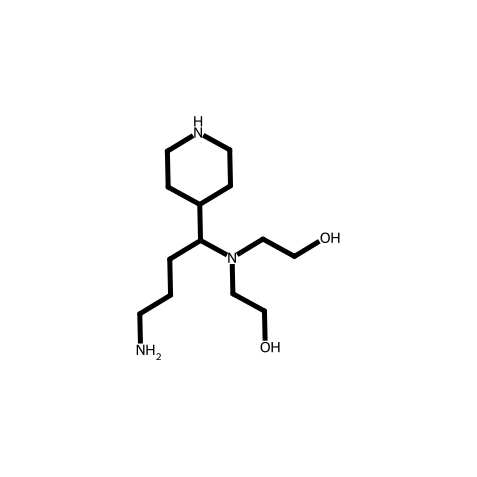 NCCCC(C1CCNCC1)N(CCO)CCO